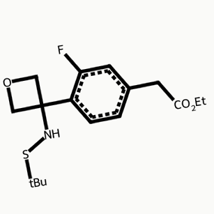 CCOC(=O)Cc1ccc(C2(NSC(C)(C)C)COC2)c(F)c1